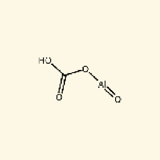 [O]=[Al][O]C(=O)O